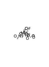 O=c1c(Cc2ccco2)nc2c(Cc3c(F)cccc3F)[nH]c(-c3cccc([N+](=O)[O-])c3F)cn1-2